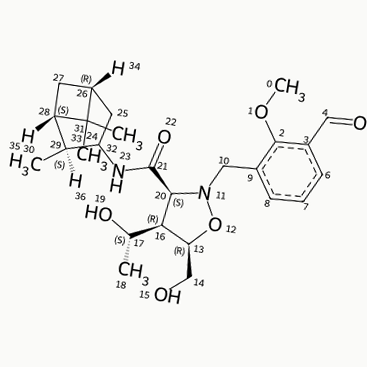 COc1c(C=O)cccc1CN1O[C@@H](CO)[C@@H]([C@H](C)O)[C@H]1C(=O)NC1C[C@H]2C[C@@H]([C@@H]1C)C2(C)C